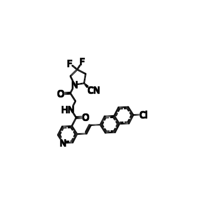 N#C[C@@H]1CC(F)(F)CN1C(=O)CNC(=O)c1ccncc1/C=C/c1ccc2cc(Cl)ccc2c1